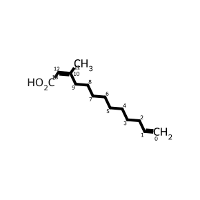 C=CCCCCCCCCC(C)=CC(=O)O